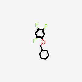 Fc1[c]c(OCC2CCCCC2)c(F)cc1F